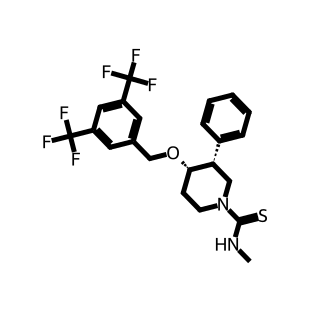 CNC(=S)N1CC[C@H](OCc2cc(C(F)(F)F)cc(C(F)(F)F)c2)[C@H](c2ccccc2)C1